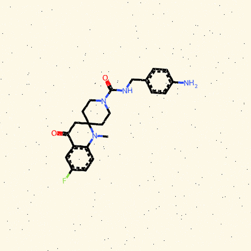 CN1c2ccc(F)cc2C(=O)CC12CCN(C(=O)NCc1ccc(N)cc1)CC2